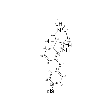 CN1CC[C@@H]2Nc3c(Sc4ccc(Br)cc4)cccc3[C@H]2C1